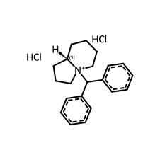 Cl.Cl.c1ccc(C(c2ccccc2)[N+]23CCCC[C@H]2CCC3)cc1